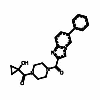 O=C(c1cn2cc(-c3ccccc3)ccc2n1)N1CCN(C(=O)C2(O)CC2)CC1